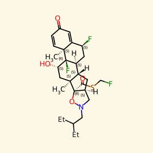 CCC(CC)CN1C[C@@H]2C[C@H]3[C@@H]4C[C@H](F)C5=CC(=O)C=C[C@]5(C)[C@@]4(F)[C@@H](O)C[C@]3(C)[C@]2(C(=O)SCF)O1